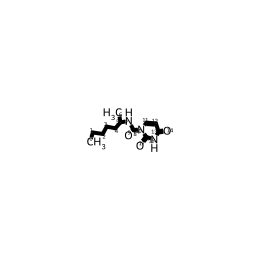 CCCCCC(C)NC(=O)n1ccc(=O)[nH]c1=O